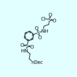 CCCCCCCCCCCCNS(=O)(=O)c1cccc(S(=O)(=O)NCCS(=O)(=O)Cl)c1